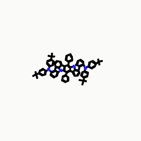 CC(C)(C)c1ccc(N(c2ccc(C(C)(C)C)cc2)c2cccc3c2c2cccc4c5c(-c6ccccc6)c6c(c(-c7ccccc7)c5n3c24)c2cccc3c4c(N(c5ccc(C(C)(C)C)cc5)c5ccc(C(C)(C)C)cc5)cccc4n6c32)cc1